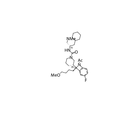 CNC[C@H](CC1CCCCC1)NC(=O)N1CCC[C@@H]([C@@]2(CCCCOC)c3cc(F)ccc3N2C(C)=O)C1